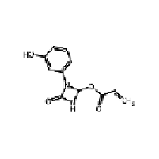 C=CC(=O)OC1NC(=O)N1c1cccc(O)c1